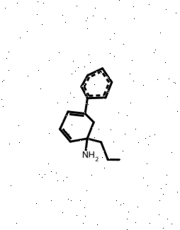 CCCC1(N)C=CC=C(c2ccccc2)C1